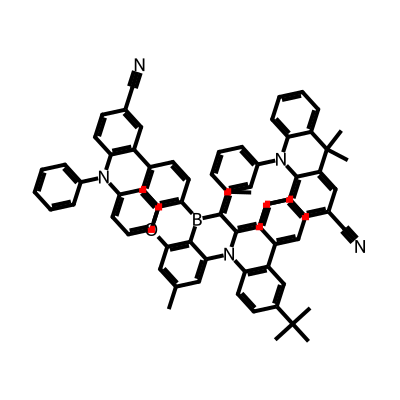 C/C=C1/B2c3ccc(-c4cc(C#N)ccc4N(c4ccccc4)c4ccccc4)cc3Oc3cc(C)cc(c32)N(c2ccc(C(C)(C)C)cc2-c2ccccc2)/C1=C/Cc1cc(C#N)cc2c1N(c1ccccc1)c1ccccc1C2(C)C